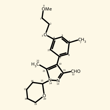 COCCOc1cc(C)cc(-c2c(C=O)nn(C3CCCCO3)c2C)c1